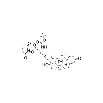 CC(C)(C)OC(=O)NC(CSCC(=O)[C@@]1(O)CC[C@H]2[C@@H]3CCC4=CC(=O)C=C[C@]4(C)[C@@]3(F)[C@@H](O)C[C@@]21C)C(=O)ON1C(=O)CCC1=O